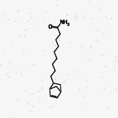 NC(=O)CCCCCCCCC1CC2C=CC1C2